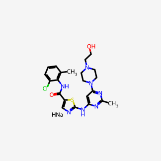 Cc1nc(Nc2ncc(C(=O)Nc3c(C)cccc3Cl)s2)cc(N2CCN(CCO)CC2)n1.[NaH]